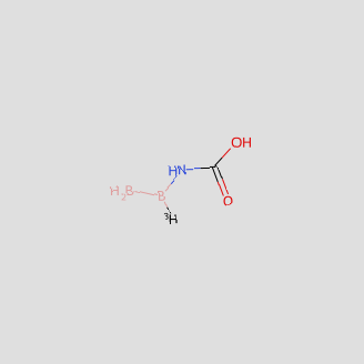 [3H]B(B)NC(=O)O